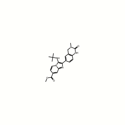 COC(=O)c1ccn2c(NC(C)(C)C)c(-c3ccc4c(c3)CN(C)C(=O)N4)nc2c1